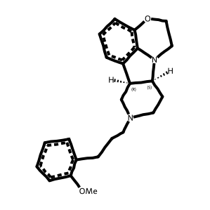 COc1ccccc1CCCN1CC[C@H]2[C@@H](C1)c1cccc3c1N2CCO3